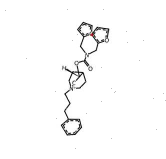 O=C(O[C@H]1C[N+]2(CCCc3ccccc3)CCC1CC2)N(Cc1ccco1)Cc1ccco1